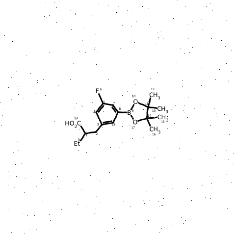 CCC(Cc1cc(F)cc(B2OC(C)(C)C(C)(C)O2)c1)C(=O)O